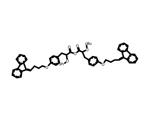 CCCCOC(Cc1ccc(OCCCC=C2c3ccccc3-c3ccccc32)cc1)C(=O)OC(=O)C(Cc1ccc(OCCCC=C2c3ccccc3-c3ccccc32)cc1)OCCC